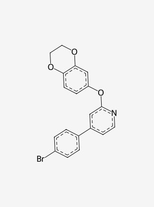 Brc1ccc(-c2ccnc(Oc3ccc4c(c3)OCCO4)c2)cc1